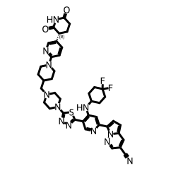 N#Cc1cnn2c(-c3cc(NC4CCC(F)(F)CC4)c(-c4nnc(N5CCN(CC6CCN(c7ccc([C@H]8CCC(=O)NC8=O)cn7)CC6)CC5)s4)cn3)ccc2c1